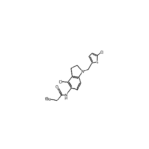 CC(C)(C)CC(=O)Nc1ccc2c(c1Cl)CCN2Cc1ccc(Cl)s1